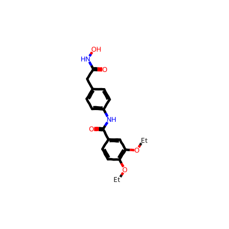 CCOc1ccc(C(=O)Nc2ccc(CC(=O)NO)cc2)cc1OCC